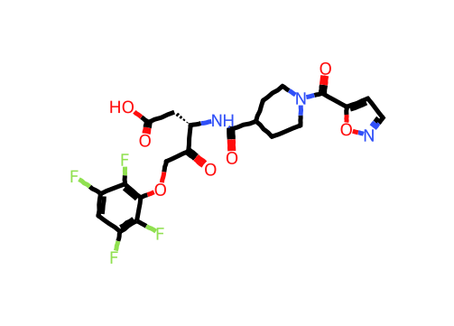 O=C(O)C[C@H](NC(=O)C1CCN(C(=O)c2ccno2)CC1)C(=O)COc1c(F)c(F)cc(F)c1F